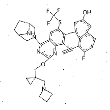 C#Cc1c(F)ccc2cc(O)cc(-c3c(SC(F)(F)F)cc4c(N5CC6CCC(C5)N6)nc(OCC5(CN6CCC6)CC5)nc4c3F)c12